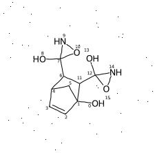 OC12C=CC(C1)C(C1(O)NO1)C2C1(O)NO1